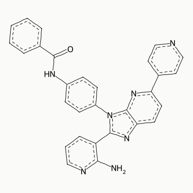 Nc1ncccc1-c1nc2ccc(-c3ccncc3)nc2n1-c1ccc(NC(=O)c2ccccc2)cc1